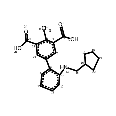 Cc1c(C(=O)O)cc(-c2ccccc2NCC2CCCC2)cc1C(=O)O